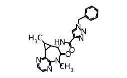 CC1C2c3nccnc3N(C)C(=O)[C@@H](NC(=O)c3cn(Cc4ccccc4)nn3)C12